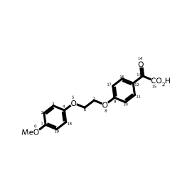 COc1ccc(OCCOc2ccc(C(=O)C(=O)O)cc2)cc1